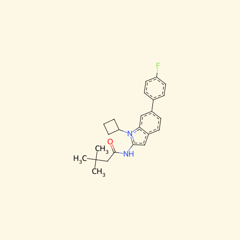 CC(C)(C)CC(=O)Nc1cc2ccc(-c3ccc(F)cc3)cc2n1C1CCC1